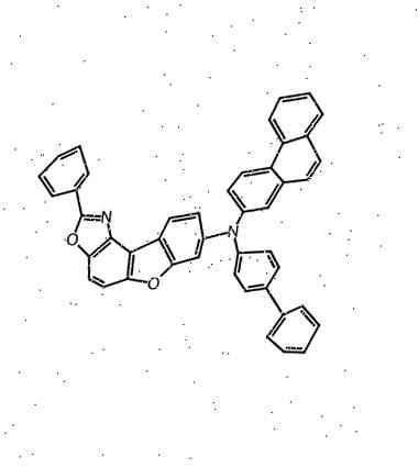 c1ccc(-c2ccc(N(c3ccc4c(ccc5ccccc54)c3)c3ccc4c(c3)oc3ccc5oc(-c6ccccc6)nc5c34)cc2)cc1